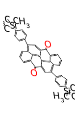 C[Si](C)(C)c1ccc(-c2cc3c4c5c2cccc5c(=O)c2cc(-c5ccc([Si](C)(C)C)cc5)c5cccc(c3=O)c5c2-4)cc1